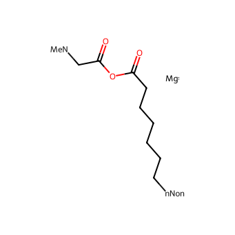 CCCCCCCCCCCCCCCC(=O)OC(=O)CNC.[Mg]